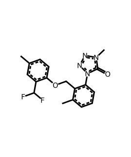 Cc1ccc(OCc2c(C)cccc2-n2nnn(C)c2=O)c(C(F)F)c1